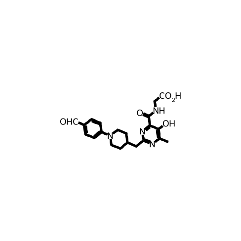 Cc1nc(CC2CCN(c3ccc(C=O)cc3)CC2)nc(C(=O)NCC(=O)O)c1O